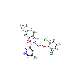 O=C(c1cncc(Br)c1)N(CCOc1c(Cl)cc(Cl)cc1Cl)Cc1ccc(C(F)(F)F)cc1